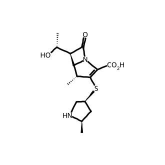 C[C@@H]1C[C@H](SC2=C(C(=O)O)N3C(=O)[C@H]([C@@H](C)O)C3[C@H]2C)CN1